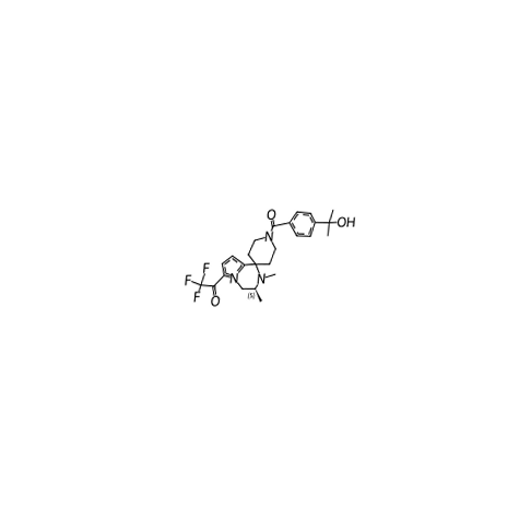 C[C@H]1Cn2c(C(=O)C(F)(F)F)ccc2C2(CCN(C(=O)c3ccc(C(C)(C)O)cc3)CC2)N1C